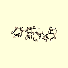 Cc1ccccc1CN(C)C1CCc2nn(-c3ccccn3)c(O)c2C1.Cl